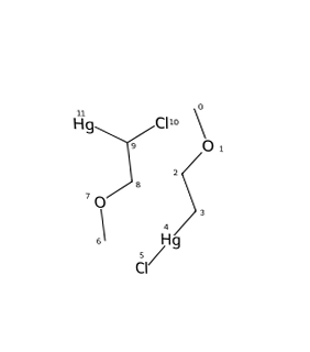 COC[CH2][Hg][Cl].COC[CH](Cl)[Hg]